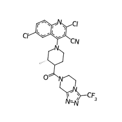 C[C@@H]1CN(c2c(C#N)c(Cl)nc3ccc(Cl)cc23)CCC1C(=O)N1CCn2c(nnc2C(F)(F)F)C1